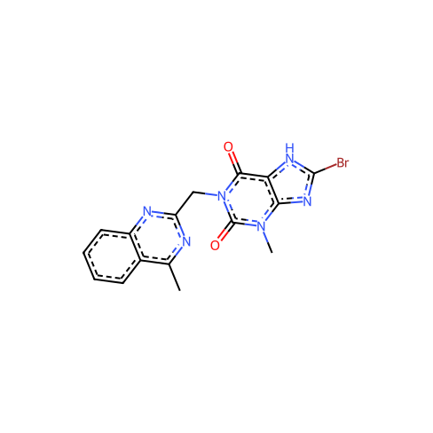 Cc1nc(Cn2c(=O)c3[nH]c(Br)nc3n(C)c2=O)nc2ccccc12